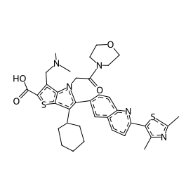 Cc1nc(C)c(-c2ccc3cc(-c4c(C5CCCCC5)c5sc(C(=O)O)c(CN(C)C)c5n4CC(=O)N4CCOCC4)ccc3n2)s1